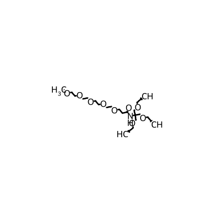 C#CCOCC(COCC#C)(COCC#C)NC(=O)CCOCCOCCOCCOCCOC